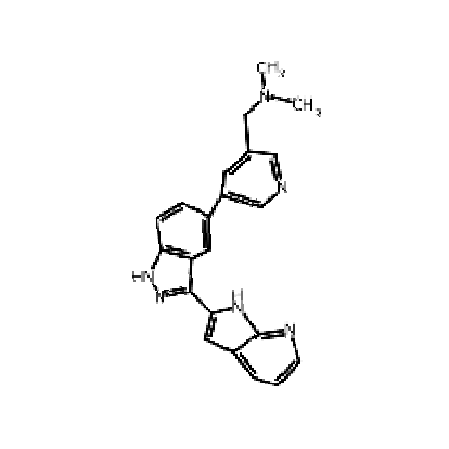 CN(C)Cc1cncc(-c2ccc3[nH]nc(-c4cc5cccnc5[nH]4)c3c2)c1